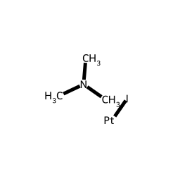 CN(C)C.[I][Pt]